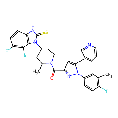 CC1CC(n2c(=S)[nH]c3ccc(F)c(F)c32)CCN1C(=O)c1cc(-c2cccnc2)n(-c2ccc(F)c(C(F)(F)F)c2)n1